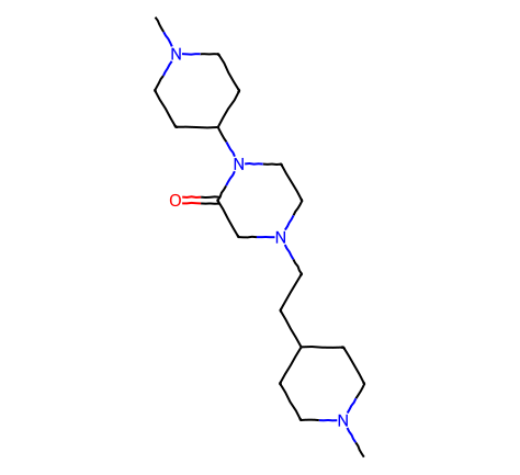 CN1CCC(CCN2CCN(C3CCN(C)CC3)C(=O)C2)CC1